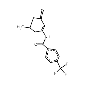 CC1CC(=O)C=C(NC(=O)c2ccc(C(F)(F)F)cc2)C1